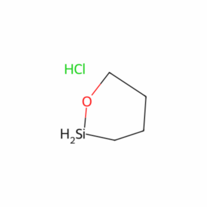 C1CC[SiH2]OC1.Cl